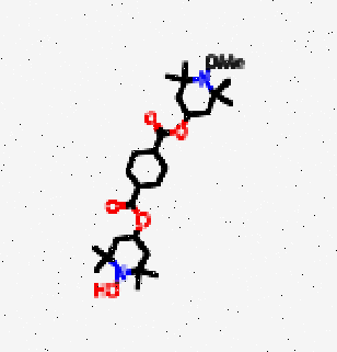 CON1C(C)(C)CC(OC(=O)C2CCC(C(=O)OC3CC(C)(C)N(O)C(C)(C)C3)CC2)CC1(C)C